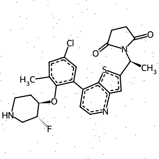 Cc1cc(Cl)cc(-c2ccnc3cc([C@H](C)N4C(=O)CCC4=O)sc23)c1O[C@@H]1CCNC[C@H]1F